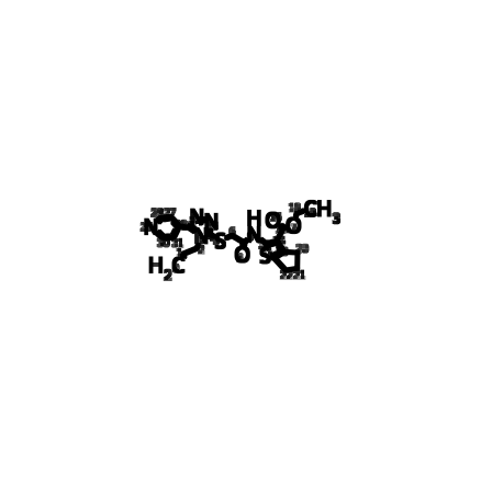 C=CCn1c(SCC(=O)Nc2sc3c(c2C(=O)OCC)CCC3)nnc1-c1ccncc1